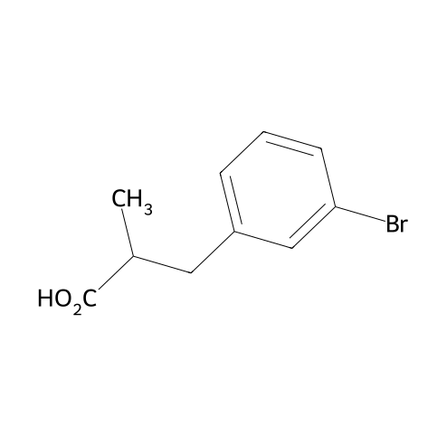 CC(Cc1cccc(Br)c1)C(=O)O